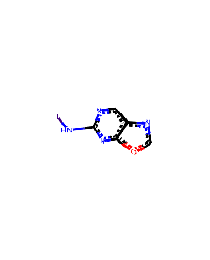 INc1ncc2ncoc2n1